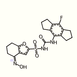 O=C(Nc1c2c(c(F)c3c1CCC3)CCC2)NS(=O)(=O)c1cc2c(o1)CCC/C2=N/O